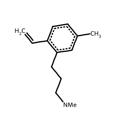 C=Cc1ccc(C)cc1CCCNC